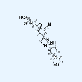 N#Cc1cc(-c2ccnc(Nc3ccc(N4CCOCC4)cc3)n2)ccc1OC1CN(C(=O)CO)C1